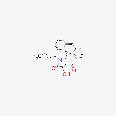 CCCCN1C(=O)C(O)C(C=O)C1c1c2ccccc2cc2ccccc12